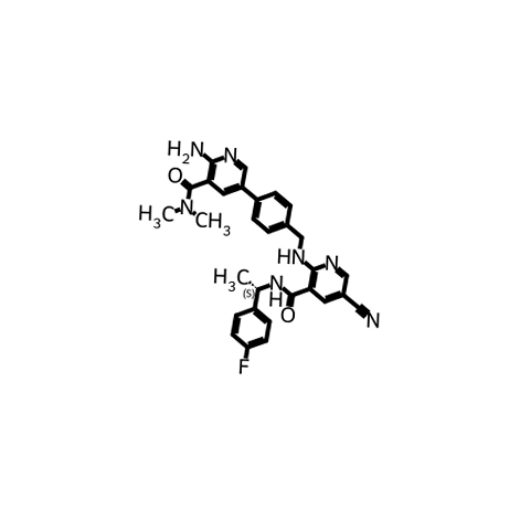 C[C@H](NC(=O)c1cc(C#N)cnc1NCc1ccc(-c2cnc(N)c(C(=O)N(C)C)c2)cc1)c1ccc(F)cc1